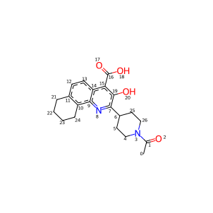 CC(=O)N1CCC(c2nc3c4c(ccc3c(C(=O)O)c2O)CCCC4)CC1